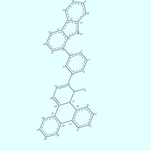 CC1C(c2cccc(-c3cccc4c3sc3ccccc34)c2)=CC=C2c3ccccc3-c3ccccc3C21